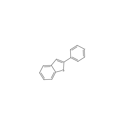 [c]1ccc(-c2cc3ccccc3s2)cc1